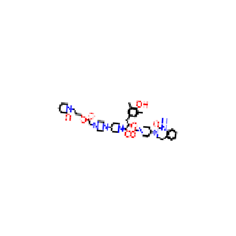 Cc1cc(C[C@@H](OC(=O)N2CCC(N3CCc4ccccc4NC3=O)CC2)C(=O)N2CCC(N3CCN(CC(=O)OCCCN4CCCCC4=O)CC3)CC2)cc(C)c1O